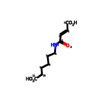 O=C(O)C=CC(=O)NCCCCCC(=O)O